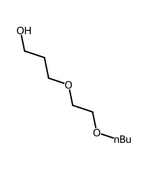 CCCCOCCOCCCO